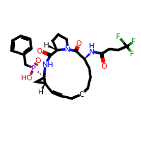 O=C(CCC(F)(F)F)N[C@H]1CCCCC/C=C\[C@@H]2C[C@@]2(P(=O)(O)Cc2ccccc2)NC(=O)[C@@H]2CCCN2C1=O